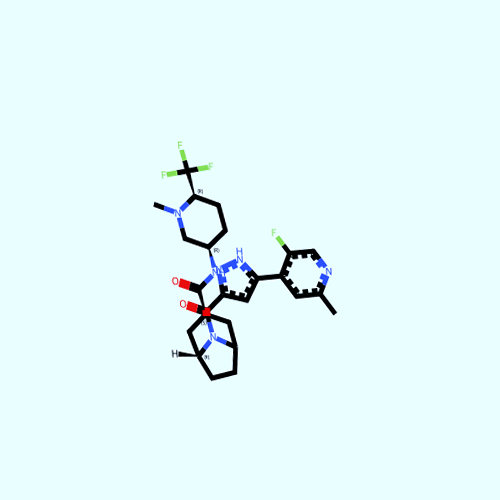 Cc1cc(-c2cc(C(=O)N3C4CC[C@@H]3C[C@@H](C(=O)N[C@@H]3CC[C@H](C(F)(F)F)N(C)C3)C4)n[nH]2)c(F)cn1